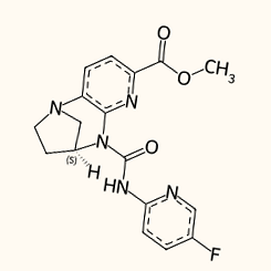 COC(=O)c1ccc2c(n1)N(C(=O)Nc1ccc(F)cn1)[C@H]1CCN2C1